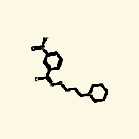 O=[N+]([O-])c1cccc(/C(Cl)=N\OCCCN2CCCCC2)c1